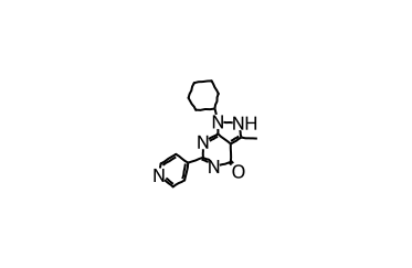 Cc1[nH]n(C2CCCCC2)c2nc(-c3ccncc3)nc(=O)c1-2